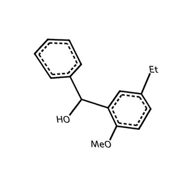 CCc1ccc(OC)c(C(O)c2ccccc2)c1